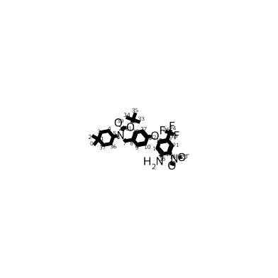 CC1(C)CCC(N(Cc2ccc(Oc3cc(N)c([N+](=O)[O-])cc3C(F)(F)F)cc2)C(=O)OC(C)(C)C)CC1